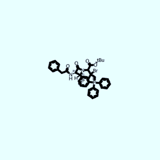 CC(C)(C)OC(=O)C1N2C(=O)[C@@H](NC(=O)Cc3ccccc3)[C@H]2[S@@+]([O-])CC1(Br)C[PH](c1ccccc1)(c1ccccc1)c1ccccc1